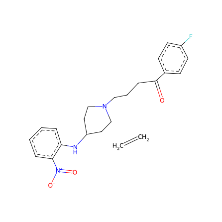 C=C.O=C(CCCN1CCC(Nc2ccccc2[N+](=O)[O-])CC1)c1ccc(F)cc1